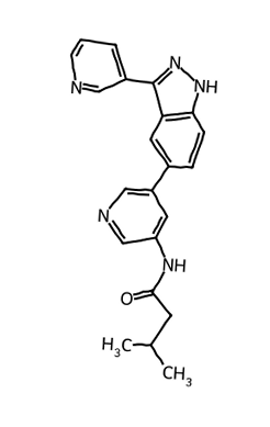 CC(C)CC(=O)Nc1cncc(-c2ccc3[nH]nc(-c4cccnc4)c3c2)c1